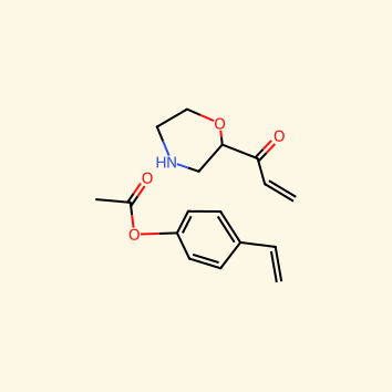 C=CC(=O)C1CNCCO1.C=Cc1ccc(OC(C)=O)cc1